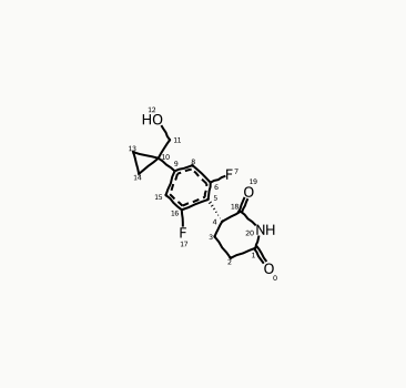 O=C1CC[C@H](c2c(F)cc(C3(CO)CC3)cc2F)C(=O)N1